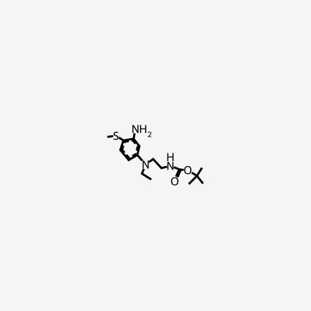 CCN(CCNC(=O)OC(C)(C)C)c1ccc(SC)c(N)c1